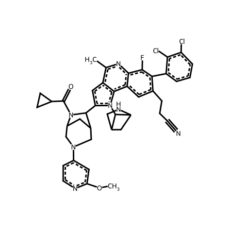 COc1cc(N2CC3CC(C2)N(C(=O)C2CC2)C3c2cc3c(C)nc4c(F)c(-c5cccc(Cl)c5Cl)c(CCC#N)cc4c3n2C2C3CNC2C3)ccn1